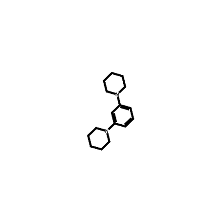 c1cc(N2CCCCC2)cc(N2CCCCC2)c1